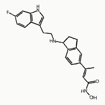 C/C(=C\C(=O)NO)c1ccc2c(c1)CCC2NCCc1c[nH]c2cc(F)ccc12